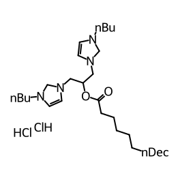 CCCCCCCCCCCCCCCC(=O)OC(CN1C=CN(CCCC)C1)CN1C=CN(CCCC)C1.Cl.Cl